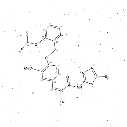 CCc1nnc(NC(=O)/C(C#N)=C\c2ccc(OCc3ccccc3OC(F)F)c(OC)c2)s1